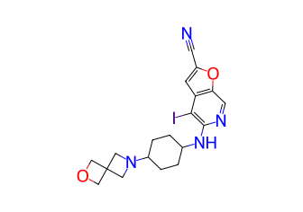 N#Cc1cc2c(I)c(NC3CCC(N4CC5(COC5)C4)CC3)ncc2o1